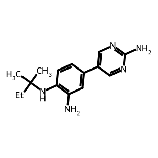 CCC(C)(C)Nc1ccc(-c2cnc(N)nc2)cc1N